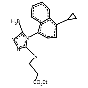 Bc1nnc(SCCC(=O)OCC)n1-c1ccc(C2CC2)c2ccccc12